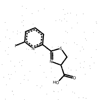 O=C(O)C1CSC(c2cccc(I)n2)=N1